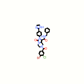 O=C(NCc1ccccc1)c1c2n(c(=O)n1-c1ccc(-c3ncc[nH]3)cc1)CCN(C(=O)c1ccc(Br)c(Cl)c1)C2